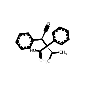 CC(C)[C@@](C(=O)O)(c1ccccc1)[C@H](C#N)c1ccccc1